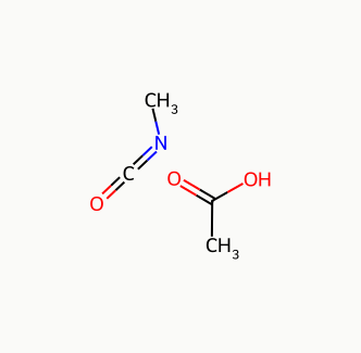 CC(=O)O.CN=C=O